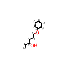 CCC(O)CCCOc1ccccc1